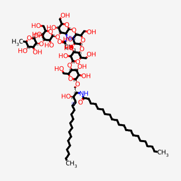 CCCCCCCCCCCCC/C=C/[C@@H](O)[C@H](CO[C@@H]1OC(CO)[C@@H](O[C@@H]2OC(CO)[C@H](O[C@@H]3OC(CO)[C@H](O[C@@H]4OC(CO)[C@H](O)[C@H](O[C@@H]5OC(CO)[C@H](O)[C@H](O[C@H]6C(O)[C@H](O)C(C)O[C@H]6O)C5O)C4NC(C)=O)[C@H](O)C3O)[C@H](O)C2O)[C@H](O)C1O)NC(=O)CCCCCCCCCCCCCCCCCCCCC